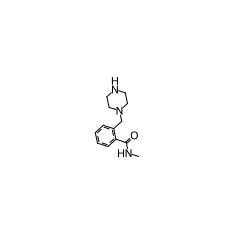 CNC(=O)c1ccccc1CN1CCNCC1